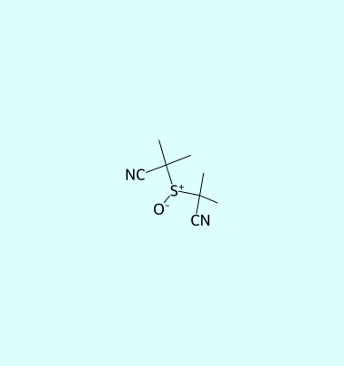 CC(C)(C#N)[S+]([O-])C(C)(C)C#N